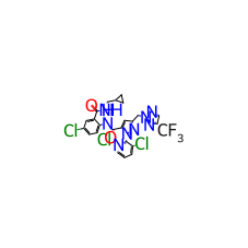 O=C(NCC1CC1)c1cc(Cl)cc(Cl)c1NC(=O)c1cc(Cn2ncc(C(F)(F)F)n2)nn1-c1ncccc1Cl